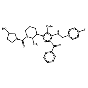 COc1c(C2CCCN(C(=O)N3CCC(O)C3)C2C)nn(C(=O)c2ccccc2)c1NCc1ccc(F)cc1